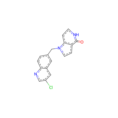 O=c1[nH]ccc2c1ccn2Cc1ccc2ncc(Cl)cc2c1